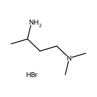 Br.CC(N)CCN(C)C